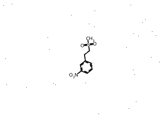 CS(=O)(=O)CCc1[c]ccc([N+](=O)[O-])c1